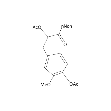 CCCCCCCCCC(=O)C(Cc1ccc(OC(C)=O)c(OC)c1)OC(C)=O